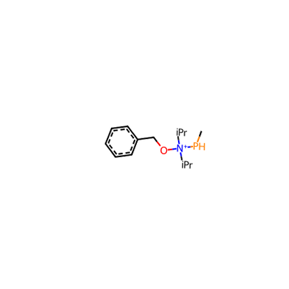 CP[N+](OCc1ccccc1)(C(C)C)C(C)C